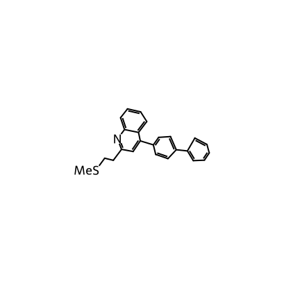 CSCCc1cc(-c2ccc(-c3ccccc3)cc2)c2ccccc2n1